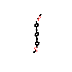 C=COCOCc1ccc(C#Cc2ccc(C#Cc3ccc(COC(=O)C=C)cc3)cc2)cc1